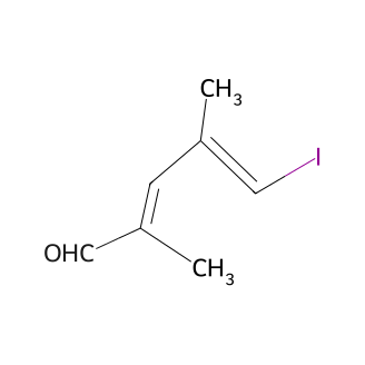 CC(=CI)C=C(C)C=O